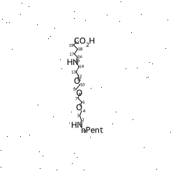 CCCCCNCCCOCCOCCOCCCNCCCCC(=O)O